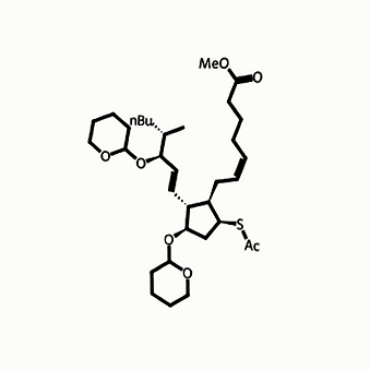 CCCC[C@H](C)[C@@H](/C=C/[C@@H]1[C@@H](C/C=C\CCCC(=O)OC)[C@@H](SC(C)=O)C[C@H]1OC1CCCCO1)OC1CCCCO1